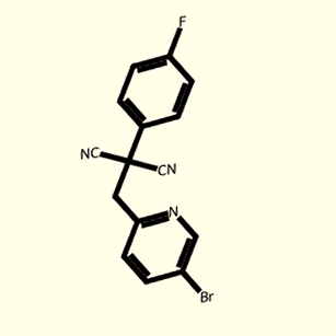 N#CC(C#N)(Cc1ccc(Br)cn1)c1ccc(F)cc1